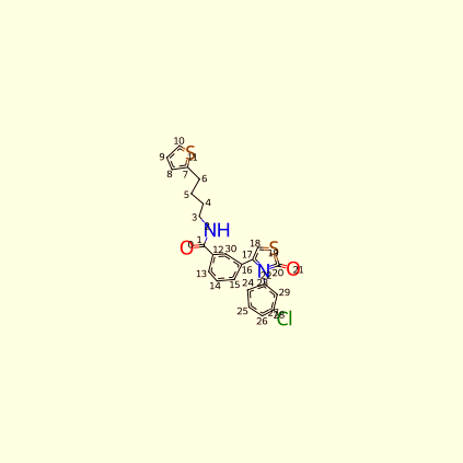 O=C(NCCCCc1cccs1)c1cccc(-c2csc(=O)n2-c2cccc(Cl)c2)c1